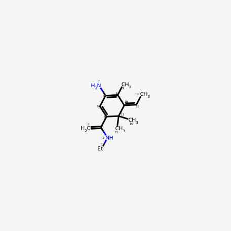 C=C(NCC)C1=CC(N)=C(C)/C(=C\C)C1(C)C